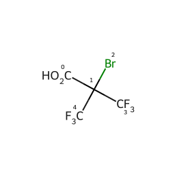 O=C(O)C(Br)(C(F)(F)F)C(F)(F)F